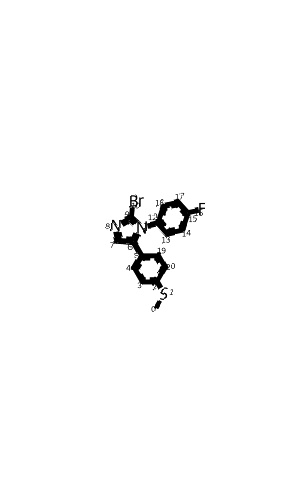 CSc1ccc(-c2cnc(Br)n2-c2ccc(F)cc2)cc1